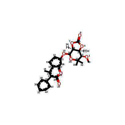 CO[C@@H]1[C@@H]2OC(=O)O[C@@H]2C(Oc2ccc3c(C)c(-c4ccccc4)c(=O)oc3c2)OC1(C)C